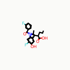 CCCC(C(=O)O)c1c(C)n(C(=O)c2cccc(F)c2)c2cc(F)c(O)cc12